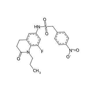 CCCN1C(=O)CCc2cc(NS(=O)(=O)Cc3ccc([N+](=O)[O-])cc3)cc(F)c21